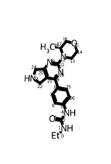 CCNC(=O)Nc1ccc(-c2nc(N3CCOC[C@@H]3C)nc3c2CNC3)cc1